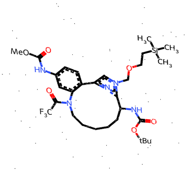 COC(=O)Nc1ccc2c(c1)N(C(=O)C(F)(F)F)CCCCCC(NC(=O)OC(C)(C)C)c1nc-2cn1COCC[Si](C)(C)C